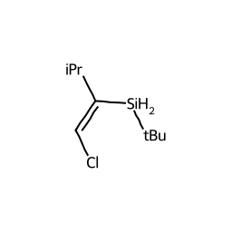 CC(C)C(=CCl)[SiH2]C(C)(C)C